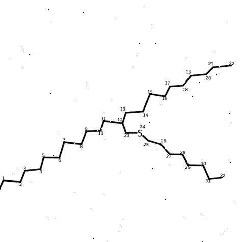 CCCCCCCCCCCCC(CCCCCCCCCC)CSCCCCCCCC